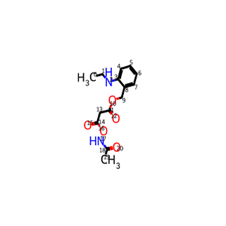 CCNc1ccccc1COC(=O)CC(=O)ONC(C)=O